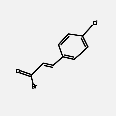 O=C(Br)C=Cc1ccc(Cl)cc1